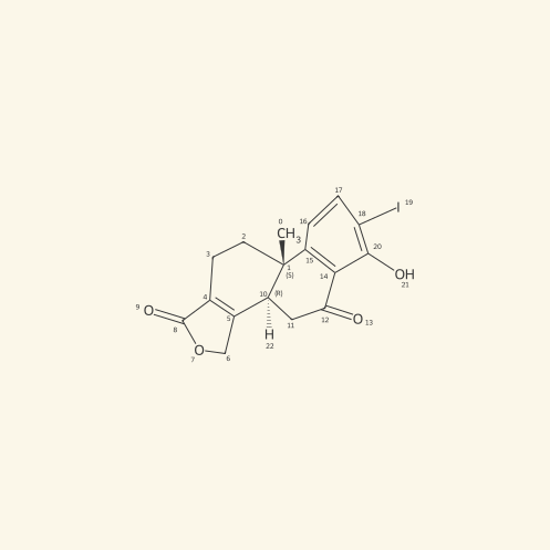 C[C@]12CCC3=C(COC3=O)[C@@H]1CC(=O)c1c2ccc(I)c1O